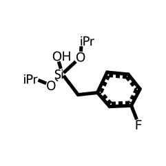 CC(C)O[Si](O)(Cc1cccc(F)c1)OC(C)C